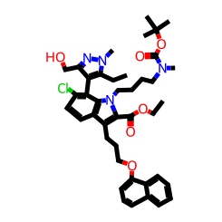 CCOC(=O)c1c(CCCOc2cccc3ccccc23)c2ccc(Cl)c(-c3c(CO)nn(C)c3CC)c2n1CCCCN(C)C(=O)OC(C)(C)C